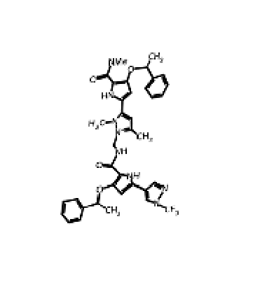 CNC(=O)c1[nH]c(-c2cc(C)[n+](CNC(=O)c3[nH]c(-c4cnn(C(F)(F)F)c4)cc3O[C@@H](C)c3ccccc3)n2C)cc1O[C@@H](C)c1ccccc1